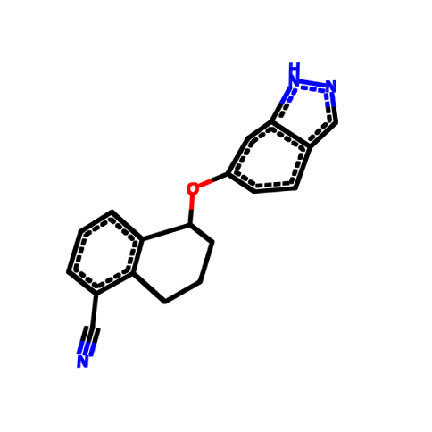 N#Cc1cccc2c1CCCC2Oc1ccc2cn[nH]c2c1